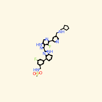 CS(=O)(=O)NCc1cc(F)cc(-c2cccc3[nH]c(-c4n[nH]c5cnc(-c6cncc(CNCC7CCCC7)c6)c(F)c45)nc23)c1